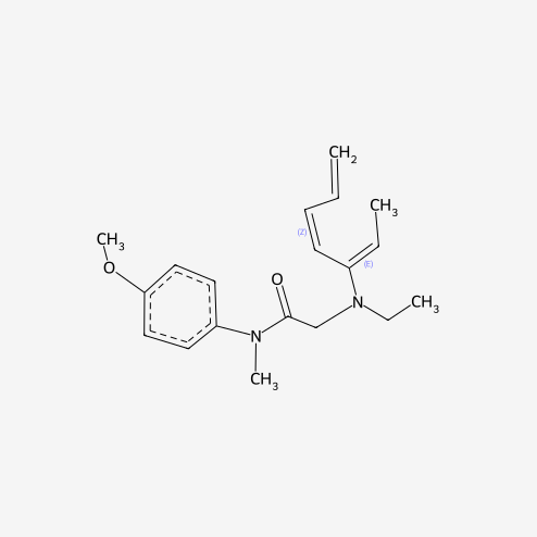 C=C/C=C\C(=C/C)N(CC)CC(=O)N(C)c1ccc(OC)cc1